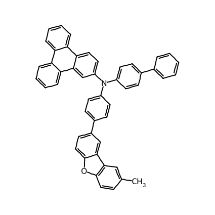 Cc1ccc2oc3ccc(-c4ccc(N(c5ccc(-c6ccccc6)cc5)c5ccc6c7ccccc7c7ccccc7c6c5)cc4)cc3c2c1